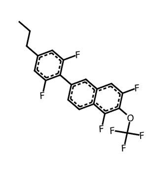 CCCc1cc(F)c(-c2ccc3c(F)c(OC(F)(F)F)c(F)cc3c2)c(F)c1